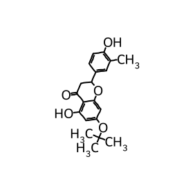 Cc1cc(C2CC(=O)c3c(O)cc(OC(C)(C)C)cc3O2)ccc1O